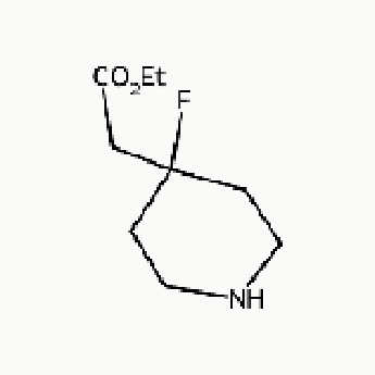 CCOC(=O)CC1(F)CCNCC1